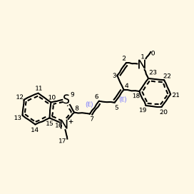 CN1C=C/C(=C\C=C\c2sc3ccccc3[n+]2C)c2ccccc21